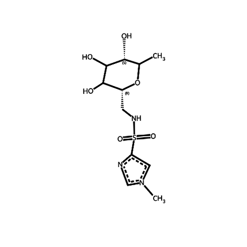 CC1O[C@H](CNS(=O)(=O)c2cn(C)cn2)C(O)C(O)[C@@H]1O